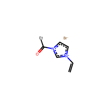 C=C[n+]1ccn(C(=O)CC)c1.[Br-]